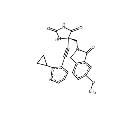 COc1ccc2c(c1)C(=O)N(C[C@@]1(C#Cc3cccnc3C3CC3)NC(=O)NC1=O)C2